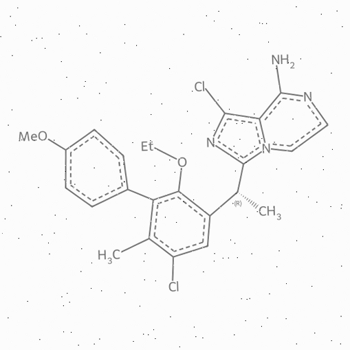 CCOc1c([C@@H](C)c2nc(Cl)c3c(N)nccn23)cc(Cl)c(C)c1-c1ccc(OC)cc1